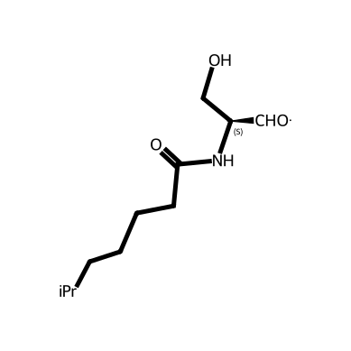 CC(C)CCCCC(=O)N[C@H]([C]=O)CO